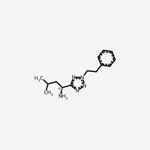 CC(C)C[C@H](N)c1nnn(CCc2ccccc2)n1